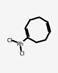 [Cl][Rh]([Cl])[C]1=CCCC=CCC1